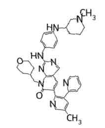 Cc1cnc(-c2cc3cnc(Nc4ccc(NC5CCCN(C)C5)cc4)nc3n(CC3CCOCC3)c2=O)c(-c2ccccn2)c1